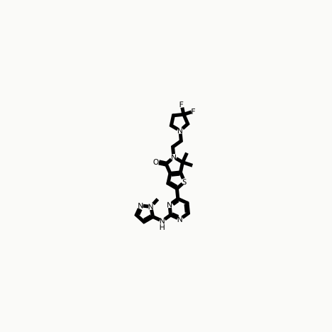 Cn1nccc1Nc1nccc(-c2cc3c(s2)C(C)(C)N(CCN2CCC(F)(F)C2)C3=O)n1